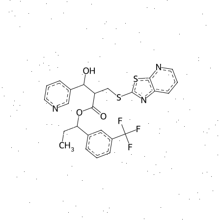 CCC(OC(=O)C(CSc1nc2cccnc2s1)C(O)c1cccnc1)c1cccc(C(F)(F)F)c1